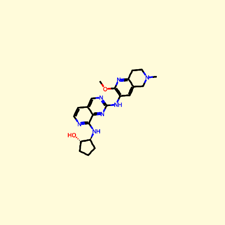 COc1nc2c(cc1Nc1ncc3ccnc(N[C@H]4CCC[C@@H]4O)c3n1)CN(C)CC2